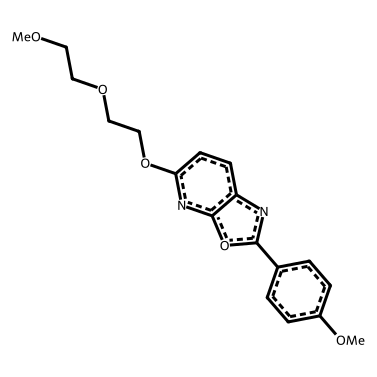 COCCOCCOc1ccc2nc(-c3ccc(OC)cc3)oc2n1